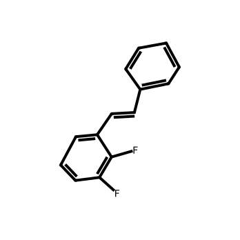 Fc1cccc(C=Cc2ccccc2)c1F